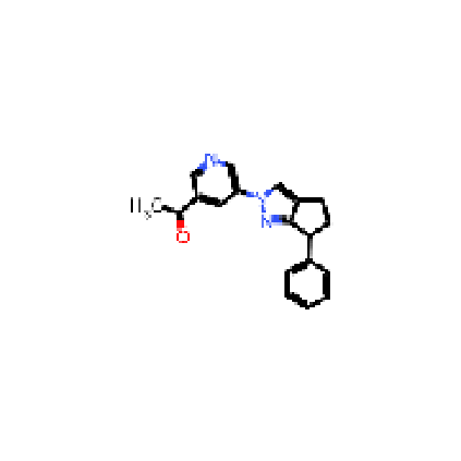 CC(=O)c1cncc(-n2cc3c(n2)C(c2ccccc2)CC3)c1